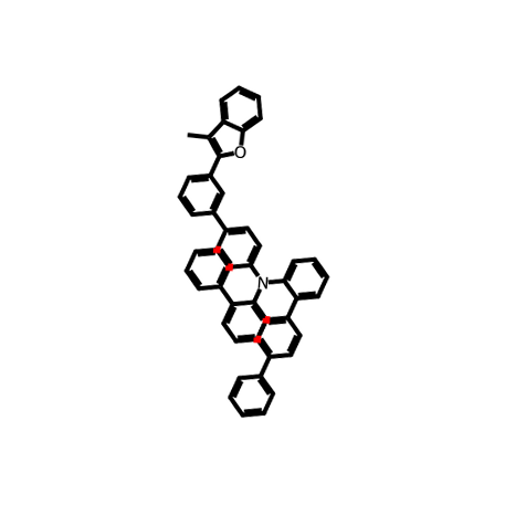 Cc1c(-c2cccc(-c3ccc(N(c4ccccc4-c4ccccc4)c4ccccc4-c4ccc(-c5ccccc5)cc4)cc3)c2)oc2ccccc12